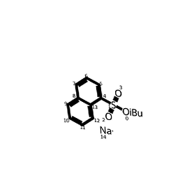 CC(C)COS(=O)(=O)c1cccc2ccccc12.[Na]